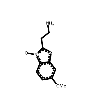 COc1ccc2c(c1)sc(CCN)[n+]2[O-]